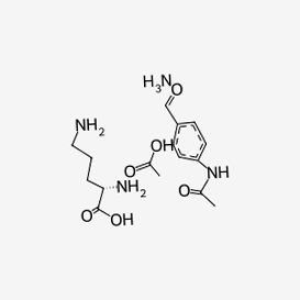 CC(=O)Nc1ccc(C=O)cc1.CC(=O)O.N.NCCC[C@H](N)C(=O)O